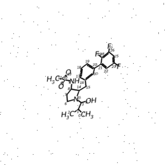 CC(C)C(O)N1CCC(NS(C)(=O)=O)C1Cc1cccc(-c2cc(F)cc(F)c2F)c1